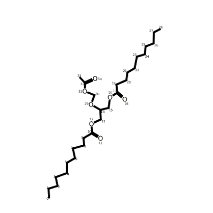 CCCCCCCCCCC(=O)OCC(COC(=O)CCCCCCCCCC)OCOC(C)=O